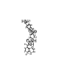 Cc1ccc(C(C)NC(=O)Nc2ccc(S(=O)(=O)Cc3ccc4c(c3)CNC4)cc2)c2c1CCC=C2